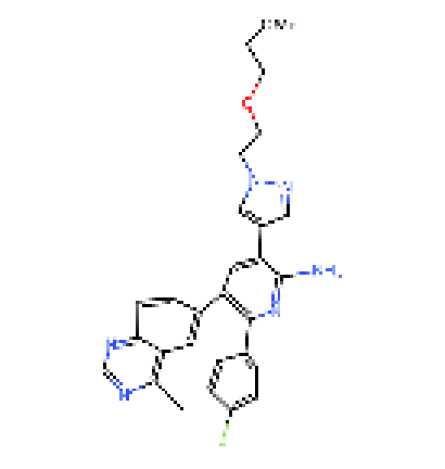 COCCOCCn1cc(-c2cc(-c3ccc4ncnc(C)c4c3)c(-c3ccc(F)cc3)nc2N)cn1